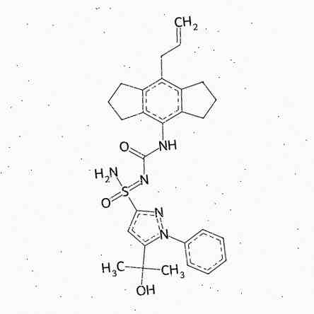 C=CCc1c2c(c(NC(=O)N=S(N)(=O)c3cc(C(C)(C)O)n(-c4ccccc4)n3)c3c1CCC3)CCC2